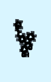 Oc1ccc2c(c1)OC[C@H](c1ccccc1)[C@@H]2c1ccc(CCCN2CCCC2)cc1